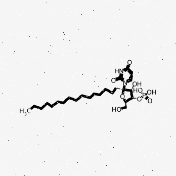 CCCCCCCCCCCCCCCC[C@@]1(n2ccc(=O)[nH]c2=O)O[C@H](CO)[C@@H](OP(=O)(O)O)[C@H]1O